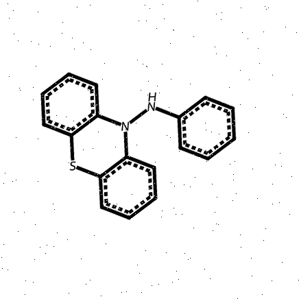 c1ccc(NN2c3ccccc3Sc3ccccc32)cc1